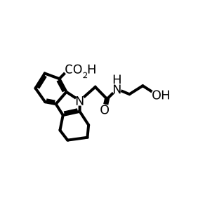 O=C(Cn1c2c(c3cccc(C(=O)O)c31)CCCC2)NCCO